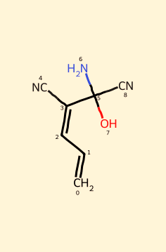 C=CC=C(C#N)C(N)(O)C#N